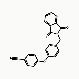 N#Cc1ccc(Oc2ccc(CN3C(=O)c4ccccc4C3=O)cc2)cc1